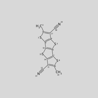 Cc1sc2c(sc3c4sc(C)c(C#N)c4sc23)c1C#N